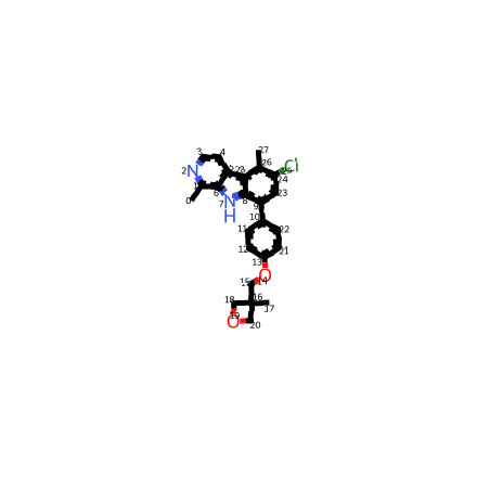 Cc1nccc2c1[nH]c1c(-c3ccc(OCC4(C)COC4)cc3)cc(Cl)c(C)c12